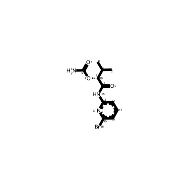 CC(C)[C@@H](OC(N)=O)C(=O)Nc1cccc(Br)n1